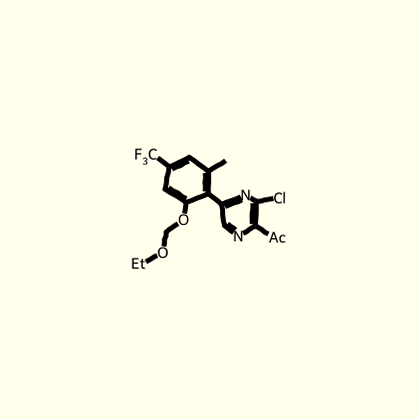 CCOCOc1cc(C(F)(F)F)cc(C)c1-c1cnc(C(C)=O)c(Cl)n1